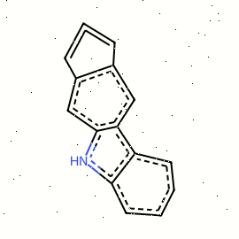 C1=Cc2cc3[nH]c4ccccc4c3cc2C=1